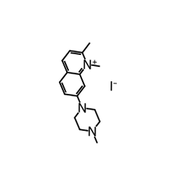 Cc1ccc2ccc(N3CCN(C)CC3)cc2[n+]1C.[I-]